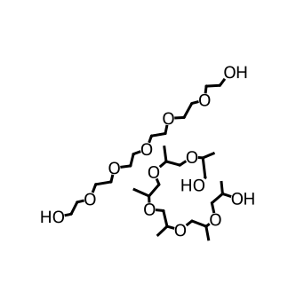 CC(O)COC(C)COC(C)COC(C)COC(C)COC(C)CO.OCCOCCOCCOCCOCCOCCO